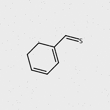 S=CC1=CC=CC[CH]1